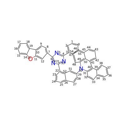 c1ccc(-c2nc(-c3ccc4c(c3)oc3ccccc34)nc(-c3cccc4ccc(N5c6ccc7ccccc7c6-c6cccc7cccc5c67)cc34)n2)cc1